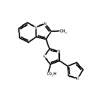 Cc1nn2ccccc2c1-c1nc(-c2ccoc2)c(C(=O)O)s1